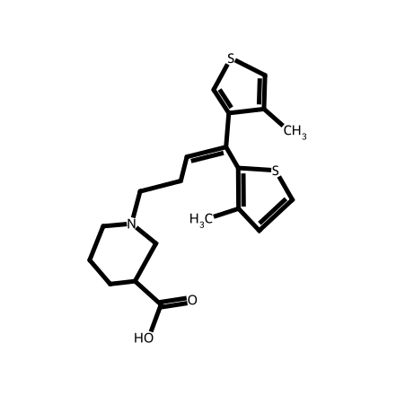 Cc1cscc1C(=CCCN1CCCC(C(=O)O)C1)c1sccc1C